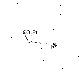 CCOC(=O)CCCCCCCC1CC1CCCCCCCCCCCCCCCCCC(N(C)C)N(C)C